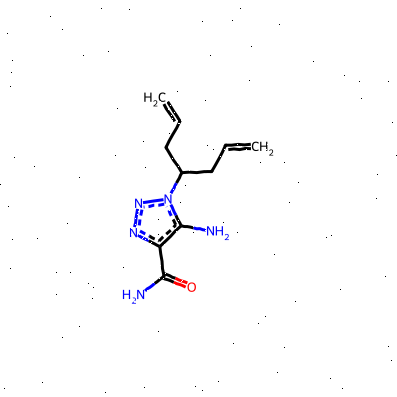 C=CCC(CC=C)n1nnc(C(N)=O)c1N